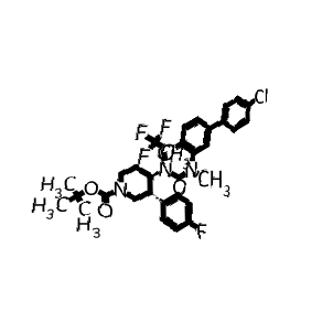 CN(C(=O)N(C)[C@@H]1CCN(C(=O)OC(C)(C)C)C[C@H]1c1ccc(F)cc1)c1cc(-c2ccc(Cl)cc2)ccc1OC(F)(F)F